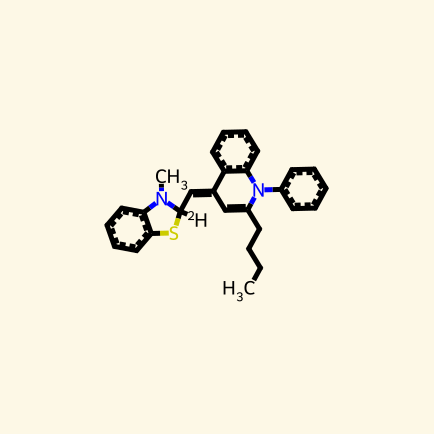 [2H]C1(C=C2C=C(CCCC)N(c3ccccc3)c3ccccc32)Sc2ccccc2N1C